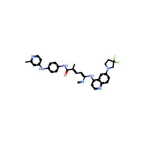 C=N/C(=C\C=C(/C)C(=O)Nc1ccc(Nc2ccnc(C)c2)cc1)Nc1ccnc2ccc(N3CCC(F)(F)C3)cc12